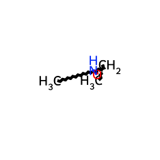 C=C[C@H](CCCC)CC(=O)NCCCCCCCCCCCCCC